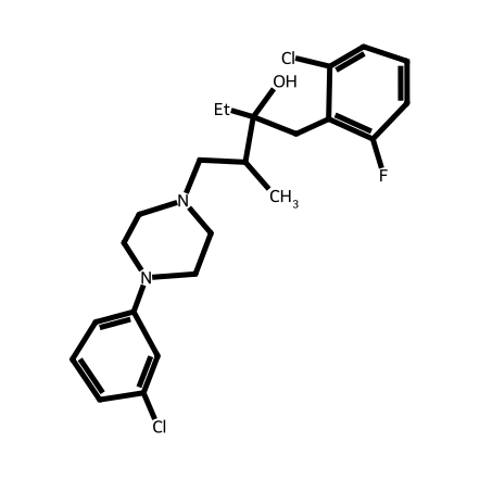 CCC(O)(Cc1c(F)cccc1Cl)C(C)CN1CCN(c2cccc(Cl)c2)CC1